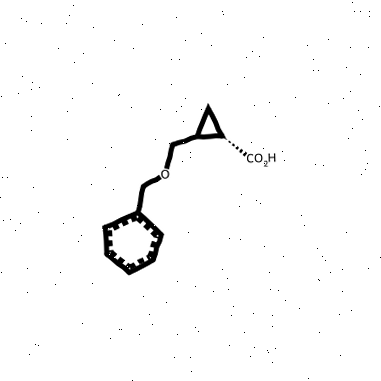 O=C(O)[C@H]1CC1COCc1ccccc1